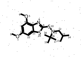 COc1cc(OC)c2nc(SN(CC(C)C)C(C)(C)C)sc2c1